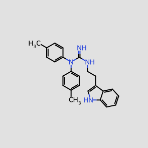 Cc1ccc(N(C(=N)NCCc2c[nH]c3ccccc23)c2ccc(C)cc2)cc1